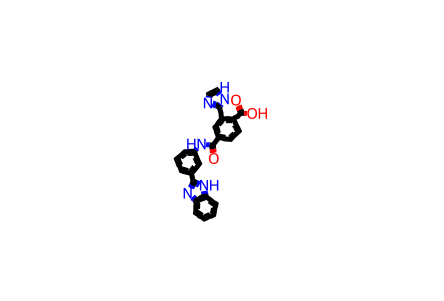 O=C(Nc1cccc(-c2nc3ccccc3[nH]2)c1)c1ccc(C(=O)O)c(-c2ncc[nH]2)c1